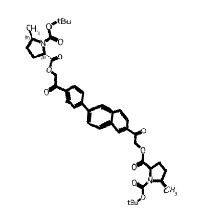 CC1CCC(C(=O)OCC(=O)c2ccc3cc(-c4ccc(C(=O)COC(=O)[C@@H]5CC[C@@H](C)N5C(=O)OC(C)(C)C)cc4)ccc3c2)N1C(=O)OC(C)(C)C